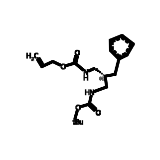 C=CCOC(=O)NC[C@@H](CNC(=O)OC(C)(C)C)Cc1ccccc1